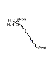 CCCCC/C=C/C/C=C/CCCCCCCCCC(CCCCCCCCC)C(C)(C)N